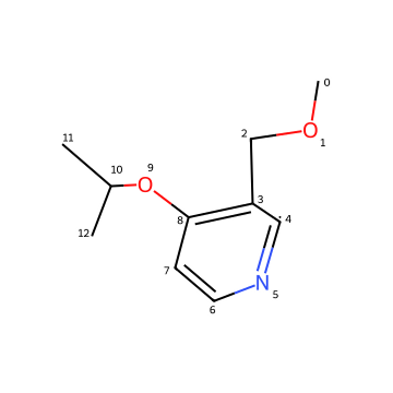 COCc1[c]nccc1OC(C)C